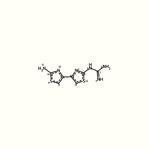 N=C(N)Nc1nc(-c2csc(N)n2)cs1